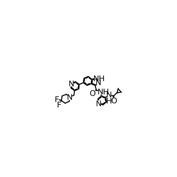 O=C(Nc1cnccc1NC(=O)C1CC1)c1n[nH]c2ccc(-c3cncc(CN4CCC(F)(F)CC4)c3)cc12